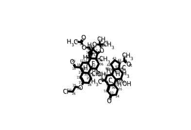 CC(=O)OCC(=O)[C@@]12OC(C)(C)O[C@@H]1C[C@H]1[C@@H]3CC(C=O)=C4C=C(OCCCl)CC[C@]4(C)[C@@]3(F)[C@@H](O)C[C@@]12C.CC(=O)[C@H]1CC[C@H]2[C@@H]3C[C@H](C)C4=CC(=O)CC[C@]4(C)[C@H]3[C@@H](O)C[C@]12C